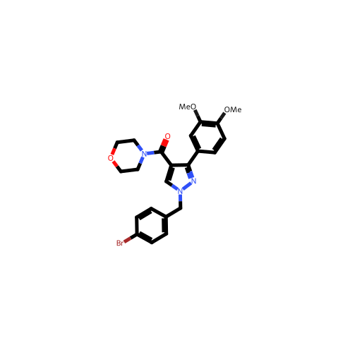 COc1ccc(-c2nn(Cc3ccc(Br)cc3)cc2C(=O)N2CCOCC2)cc1OC